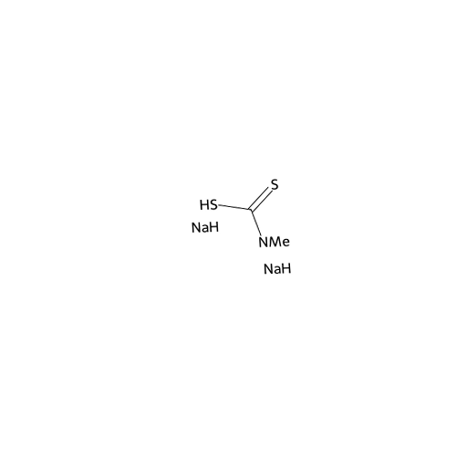 CNC(=S)S.[NaH].[NaH]